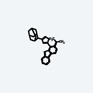 CC(C)=c1ccc2c(c1C1=CC(C3C4CC5CC(C4)CC3C5)=CC1)[C]=c1ccccc1=2